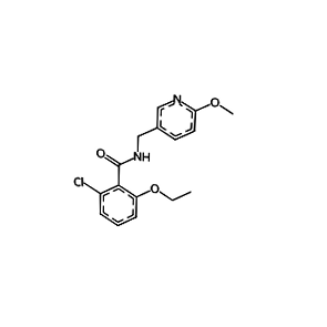 CCOc1cccc(Cl)c1C(=O)NCc1ccc(OC)nc1